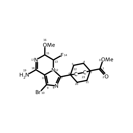 COC(=O)C12CCC(c3nc(Br)c4n3C(F)C(OC)N=C4N)(CC1)CC2